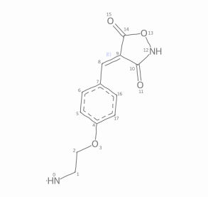 [NH]CCOc1ccc(/C=C2\C(=O)NOC2=O)cc1